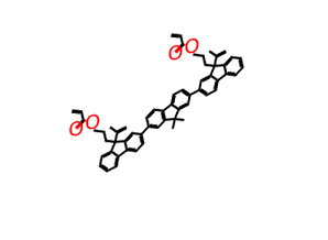 C=CC(=O)OCCCC1(C(=C)C)c2ccccc2-c2ccc(-c3ccc4c(c3)C(C)(C)c3cc(-c5ccc6c(c5)C(CCCOC(=O)C=C)(C(=C)C)c5ccccc5-6)ccc3-4)cc21